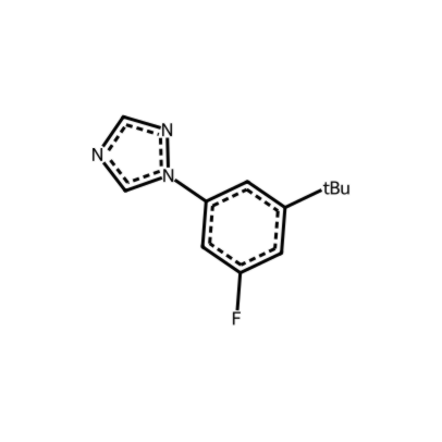 CC(C)(C)c1cc(F)cc(-n2cncn2)c1